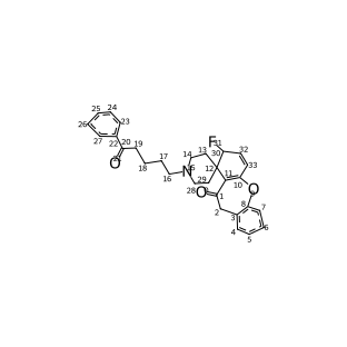 O=C1Cc2ccccc2OC2=C1C1(CCN(CCCCC(=O)c3ccccc3)CC1)C(F)C=C2